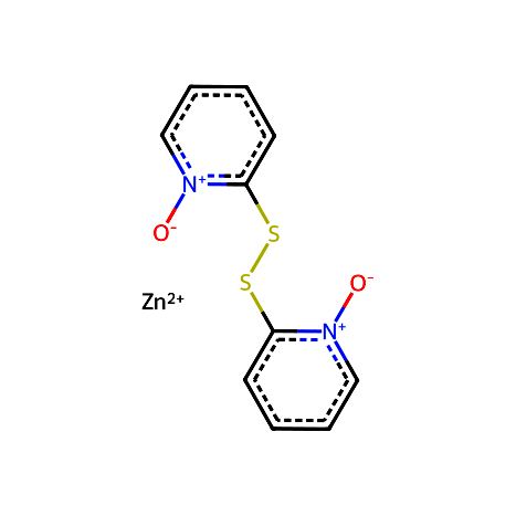 [O-][n+]1ccccc1SSc1cccc[n+]1[O-].[Zn+2]